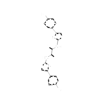 O=C(Nc1nc(-c2ccc(Br)cc2)cs1)C(=O)Nc1nc(-c2ccc(Br)cc2)cs1